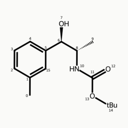 Cc1cccc([C@@H](O)[C@H](C)NC(=O)OC(C)(C)C)c1